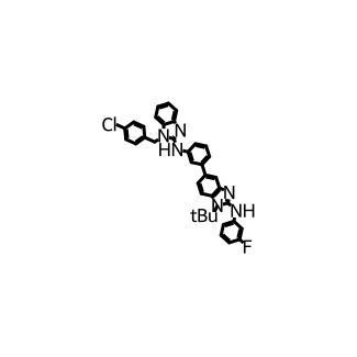 CC(C)(C)n1c(Nc2cccc(F)c2)nc2cc(-c3cccc(Nc4nc5ccccc5n4Cc4ccc(Cl)cc4)c3)ccc21